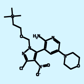 C[Si](C)(C)CCOCn1nc(Cl)c([N+](=O)[O-])c1-c1cc(N2CCOCC2)cnc1N